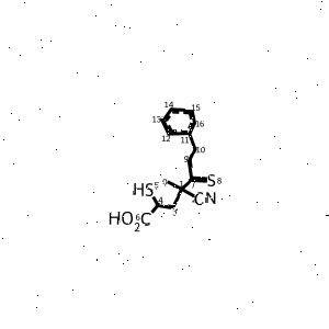 CC(C#N)(CC(S)C(=O)O)C(=S)CCc1ccccc1